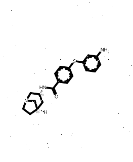 Nc1cccc(Sc2ccc(C(=O)N[C@@H]3C[C@H]4CCN(C4)C3)cc2)c1